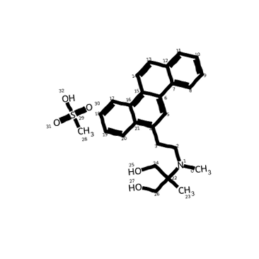 CN(CCc1cc2c3ccccc3ccc2c2ccccc12)C(C)(CO)CO.CS(=O)(=O)O